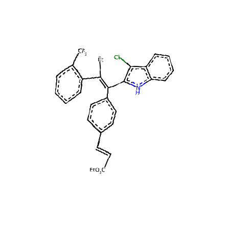 CCOC(=O)/C=C/c1ccc(/C(=C(/CC)c2ccccc2C(F)(F)F)c2[nH]c3ccccc3c2Cl)cc1